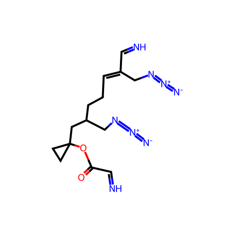 [N-]=[N+]=NC/C(C=N)=C\CCC(CN=[N+]=[N-])CC1(OC(=O)C=N)CC1